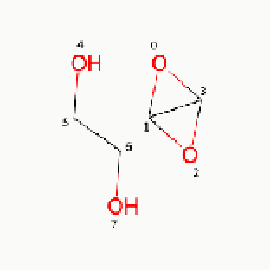 O1C2OC12.OCCO